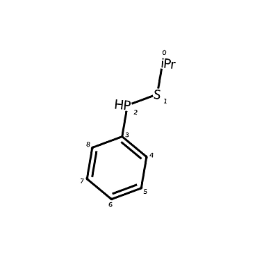 CC(C)SPc1ccccc1